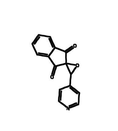 O=C1c2ccccc2C(=O)C12OC2c1ccncc1